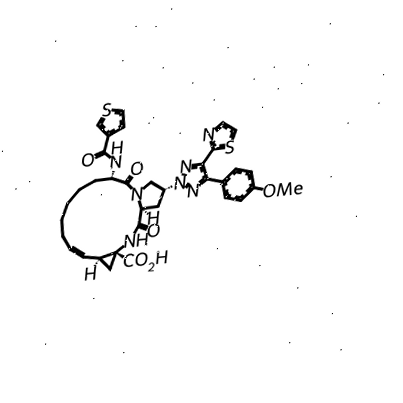 COc1ccc(-c2nn([C@@H]3C[C@H]4C(=O)N[C@]5(C(=O)O)C[C@H]5/C=C\CCCCC[C@H](NC(=O)c5ccsc5)C(=O)N4C3)nc2-c2nccs2)cc1